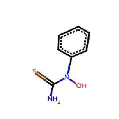 NC(=S)N(O)c1ccccc1